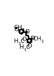 COc1ccc(C(=O)CCc2c(OC)cc(OC)cc2OC)cc1